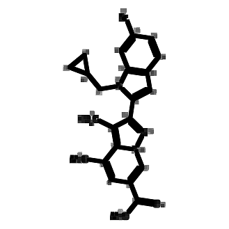 COC(=O)c1cc(OC)c2c(C(=O)O)c(-c3cc4ccc(Br)cc4n3CC3CC3)nn2c1